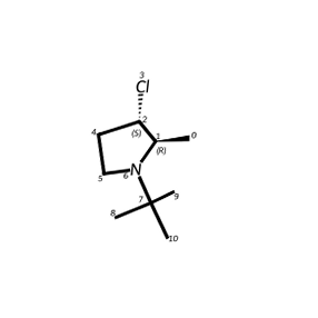 C[C@@H]1[C@@H](Cl)CCN1C(C)(C)C